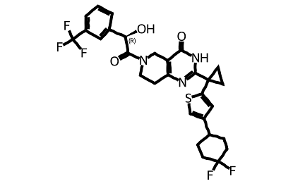 O=C([C@H](O)c1cccc(C(F)(F)F)c1)N1CCc2nc(C3(c4cc(C5CCC(F)(F)CC5)cs4)CC3)[nH]c(=O)c2C1